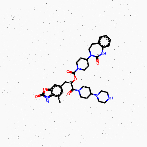 Cc1cc(C[C@@H](OC(=O)N2CCC(N3CCc4ccccc4NC3=O)CC2)C(=O)N2CCC(N3CCNCC3)CC2)cc2oc(=O)[nH]c12